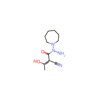 C/C(O)=C(\C#N)C(=O)N(N)N1CCCCCC1